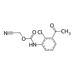 CC(=O)c1cccc(NC(=O)OCC#N)c1Cl